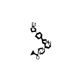 CCN1CC[C@@H](c2ccc(-c3cc4c(N5CCN(C(=O)C6CC6)CC5)ccnn4c3)cc2)C1